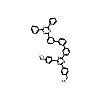 CCc1ccc(-c2nc(-c3ccc(CC)cc3)nc(-c3cccc(-c4cccc(-c5cccc(-c6nc(-c7ccccc7)nc(-c7ccccc7)n6)c5)c4)c3)n2)cc1